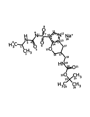 CC(C)NC(=O)[N-]S(=O)(=O)c1cnn2c1OCC(CNC(=O)OC(C)(C)C)C2.[Na+]